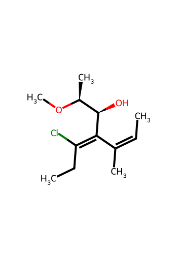 C/C=C(C)\C(=C(\Cl)CC)[C@H](O)[C@H](C)OC